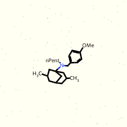 CCCCCN(Cc1ccc(OC)cc1)C12CC(C)CC(CC(C)C1)C2